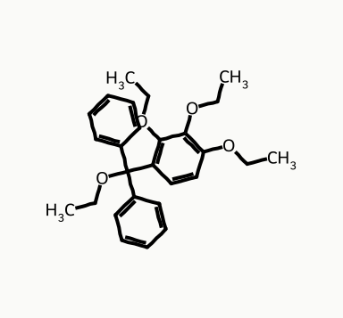 CCOc1ccc(C(OCC)(c2ccccc2)c2ccccc2)c(OCC)c1OCC